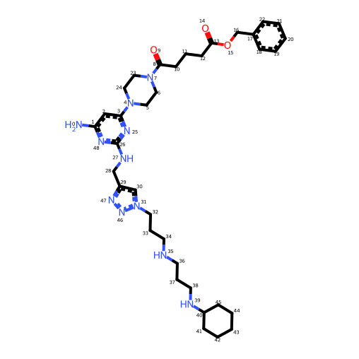 Nc1cc(N2CCN(C(=O)CCCC(=O)OCc3ccccc3)CC2)nc(NCc2cn(CCCNCCCNC3CCCCC3)nn2)n1